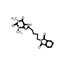 Cn1c(=O)c2[nH]c(CCCCN3C(=O)c4ccccc4C3=O)nc2n(C)c1=O